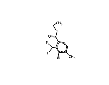 CCOC(=O)c1ccc(C)c(Br)c1C(F)F